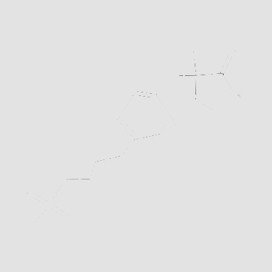 CCC(C)(Oc1ccc(CCCOS(C)(=O)=O)cc1)C(=O)O